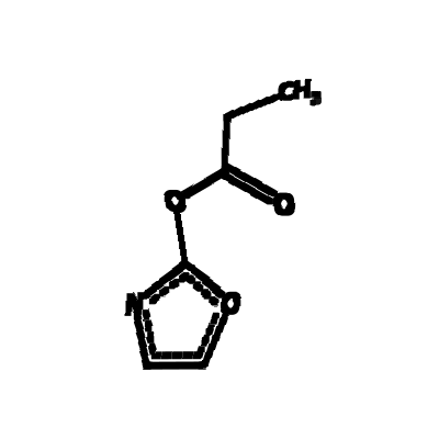 CCC(=O)Oc1ncco1